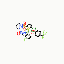 O=C(NCc1c(F)ccc(Oc2ccc(C(F)(F)F)cc2)c1Cl)[C@@H]1CCCN1S(=O)(=O)c1ccc(Cl)s1